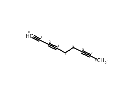 C#CC#CC[CH]C#C[CH2]